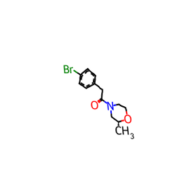 C[C@H]1CN(C(=O)Cc2ccc(Br)cc2)CCO1